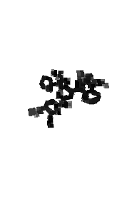 Cc1ccc(Nc2cc(Nc3ccccc3N(C)S(C)(=O)=O)c3nc(C)n(C4CCCCO4)c3n2)nc1C#N